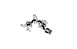 CC(C)(CCNC(=O)C(C)(C)C)OCCC(C)(C)n1cc(CN2CCS(=O)(=O)CC2)nn1